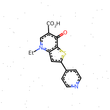 CCn1cc(C(=O)O)c(=O)c2sc(-c3ccncc3)cc21